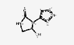 O=C1NCC(O)N1c1csnn1